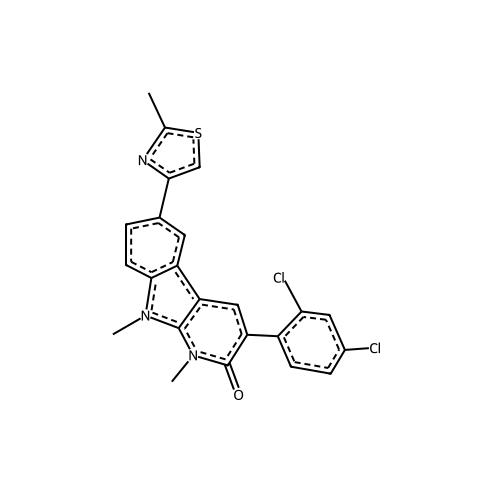 Cc1nc(-c2ccc3c(c2)c2cc(-c4ccc(Cl)cc4Cl)c(=O)n(C)c2n3C)cs1